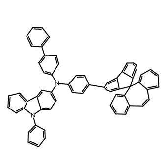 C1=Cc2ccccc2C2(c3ccccc31)c1ccccc1-c1cc(-c3ccc(N(c4ccc(-c5ccccc5)cc4)c4ccc5c(c4)c4ccccc4n5-c4ccccc4)cc3)ccc12